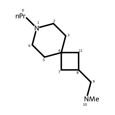 CCCN1CCC2(CC1)CC(CNC)C2